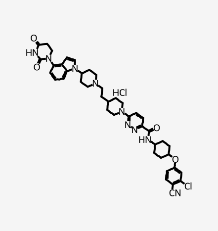 Cl.N#Cc1ccc(OC2CCC(NC(=O)c3ccc(N4CCC(CCN5CCC(n6ccc7c(N8CCC(=O)NC8=O)cccc76)CC5)CC4)nn3)CC2)cc1Cl